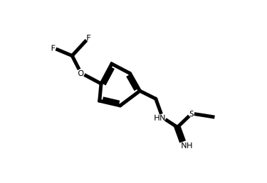 CSC(=N)NCc1ccc(OC(F)F)cc1